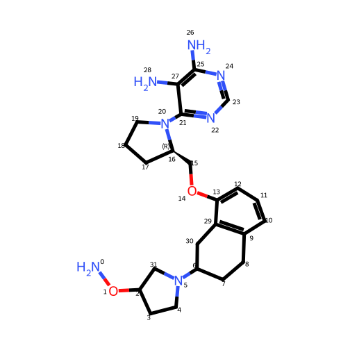 NOC1CCN(C2CCc3cccc(OC[C@H]4CCCN4c4ncnc(N)c4N)c3C2)C1